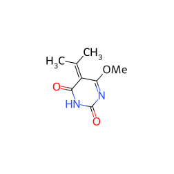 COC1=NC(=O)NC(=O)C1=C(C)C